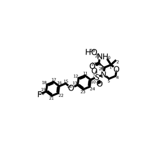 CC1(C)OCCN(S(=O)(=O)c2ccc(OCc3ccc(F)cc3)cc2)[C@H]1C(=O)NO